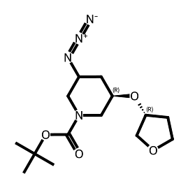 CC(C)(C)OC(=O)N1CC(N=[N+]=[N-])C[C@@H](O[C@@H]2CCOC2)C1